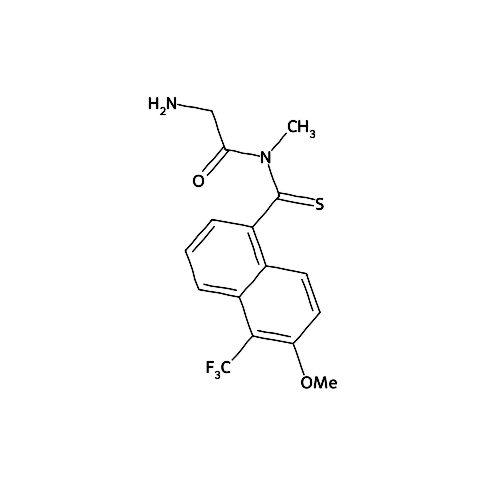 COc1ccc2c(C(=S)N(C)C(=O)CN)cccc2c1C(F)(F)F